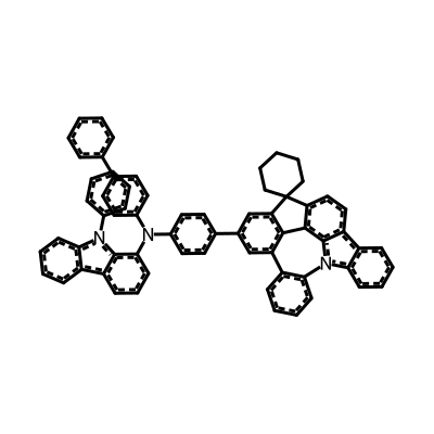 c1ccc(-c2ccc(N(c3ccc(-c4cc5c6c(c4)C4(CCCCC4)c4ccc7c8ccccc8n(c7c4-6)-c4ccccc4-5)cc3)c3cccc4c5ccccc5n(-c5ccccc5)c34)cc2)cc1